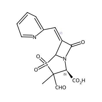 CC1(C=O)[C@H](C(=O)O)N2C(=O)/C(=C/c3ccccn3)C2S1(=O)=O